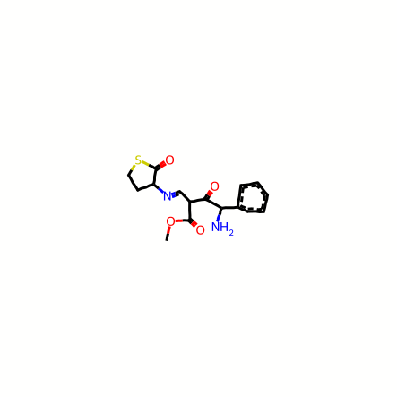 COC(=O)C(C=NC1CCSC1=O)C(=O)C(N)c1ccccc1